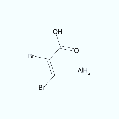 O=C(O)C(Br)=CBr.[AlH3]